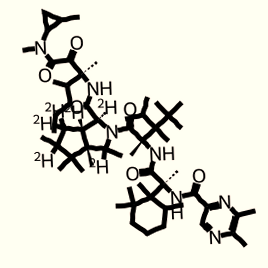 [2H]C1(C)C(C)(C)[C@@]2(C)C([2H])(C)N(C(=O)[C@@](C)(NC(=O)[C@@](C)(NC(=O)c3cnc(C)c(C)n3)C3(C)C(C)CCCC3(C)C)C(C)(C(C)C)C(C)(C)C)[C@]([2H])(C(=O)N[C@](C)(C(=O)C(=O)N(C)C3CC3C)C(C)CCC)[C@@]2([2H])C1([2H])[2H]